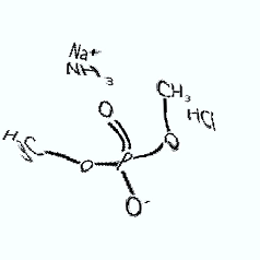 COP(=O)([O-])OC.Cl.N.[Na+]